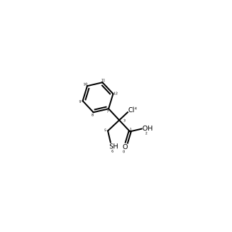 O=C(O)C(Cl)(CS)c1ccccc1